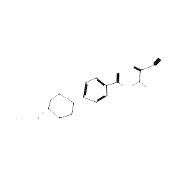 C#CC(=O)C(CC)OC(=O)c1ccc([C@H]2CC[C@H](CCCCCC)CC2)cc1